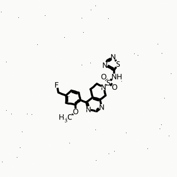 COc1cc(CF)ccc1-c1ncnc2c1CCN(S(=O)(=O)Nc1ncns1)C2